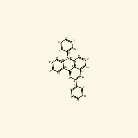 c1ccc(-c2cc3c4c(cncc4c2)N(c2ccccc2)c2ccccc2-3)cc1